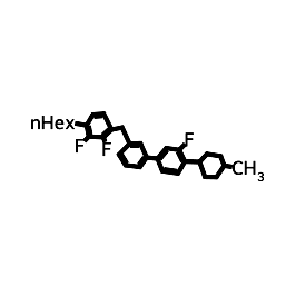 CCCCCCc1ccc(Cc2cccc(-c3ccc(C4CCC(C)CC4)c(F)c3)c2)c(F)c1F